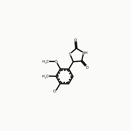 COc1c(C2SC(=O)NC2=O)ccc(Cl)c1C